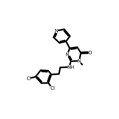 Cn1c(NCCc2ccc(Cl)cc2Cl)nc(-c2ccncc2)cc1=O